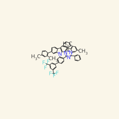 Cc1ccc(-c2ccc3c4ccc(-c5ccc(C)cc5C)cc4n(-c4cc(-c5cc(C(F)(F)F)cc(C(F)(F)F)c5)ccc4-c4nc(-c5ccccc5)nc(-c5ccccc5)n4)c3c2)c(C)c1